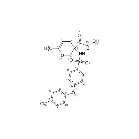 CC1=CCC(NS(=O)(=O)c2ccc(Oc3ccc(Cl)cc3)cc2)(C(=O)NO)CO1